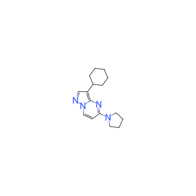 c1cn2ncc(C3CCCCC3)c2nc1N1CCCC1